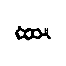 CNC1Cc2cc3ccsc3cc2C1